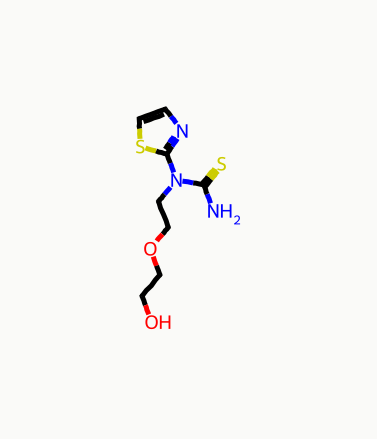 NC(=S)N(CCOCCO)c1nccs1